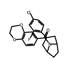 O=C(c1ccc2c(c1)OCCO2)N1C2CCC1CC(c1ccc(Cl)cc1F)C2